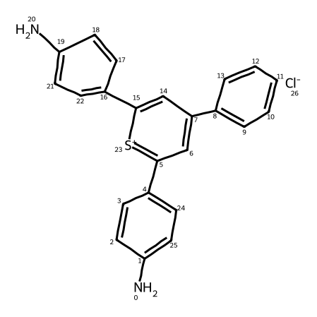 Nc1ccc(-c2cc(-c3ccccc3)cc(-c3ccc(N)cc3)[s+]2)cc1.[Cl-]